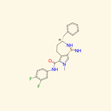 Cn1cc2c(c1C(=O)Nc1ccc(F)c(F)c1)CC[C@H](Cc1ccccc1)NS2=N